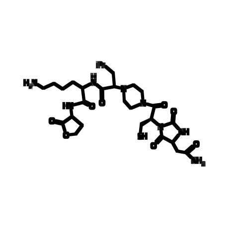 CC(C)CC(C(=O)NC(CCCCN)C(=O)NC1CCOC1=O)N1CCN(C(=O)[C@H](CS)N2C(=O)NC(CC(N)=O)C2=O)CC1